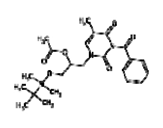 CC(=O)OC(CO[Si](C)(C)C(C)(C)C)Cn1cc(C)c(=O)n(C(=O)c2ccccc2)c1=O